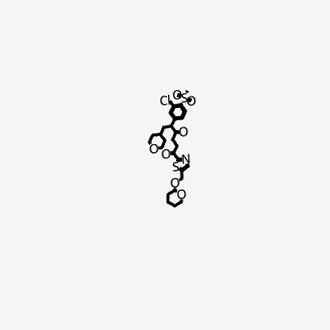 CS(=O)(=O)c1ccc(C(CC2CCOCC2)C(=O)CCC(=O)c2ncc(COC3CCCCO3)s2)cc1Cl